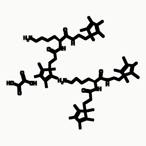 CC1=C(C)C(C)(CCNC(=O)[C@H](CCCCN)NC(=O)CCC2(C)C(C)=C(C)C(C)=C2C)C(C)=C1C.CC1=C(C)C(C)(CCNC(=O)[C@H](CCCCN)NC(=O)CCC2(C)C(C)=C(C)C(C)=C2C)C(C)=C1C.O=C(O)C(=O)O